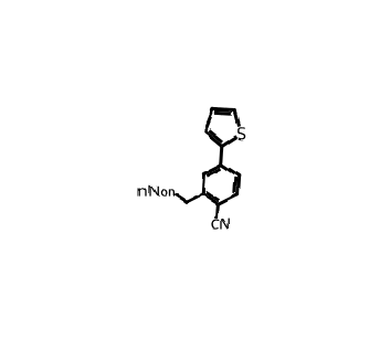 CCCCCCCCCCc1cc(-c2cccs2)ccc1C#N